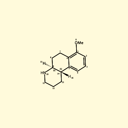 COc1cccc2c1CC[C@@H]1NCCC[C@@H]21